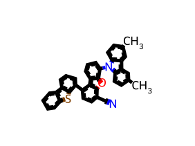 Cc1ccc2c(c1)c1cc(C)ccc1n2-c1cccc2c1oc1c(C#N)ccc(-c3cccc4c3sc3ccccc34)c12